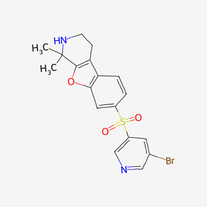 CC1(C)NCCc2c1oc1cc(S(=O)(=O)c3cncc(Br)c3)ccc21